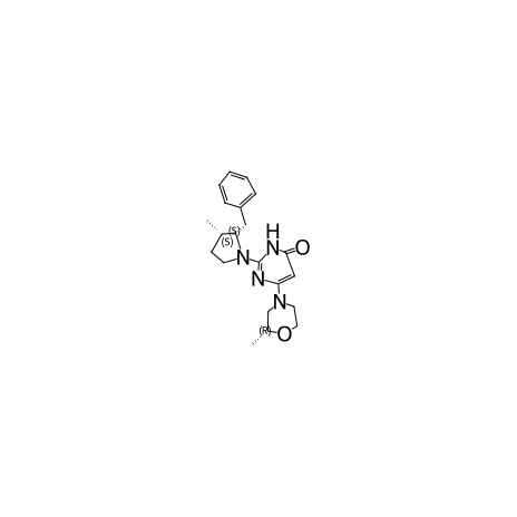 C[C@@H]1CN(c2cc(=O)[nH]c(N3CC[C@H](C)[C@@H]3Cc3ccccc3)n2)CCO1